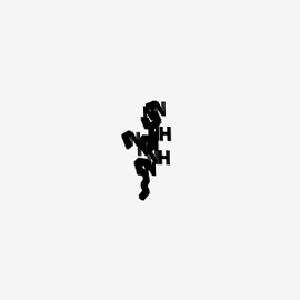 CCCCc1cccc(Nc2nc(Nc3ccn4ccnc4c3)cc(N3CCC3)n2)n1